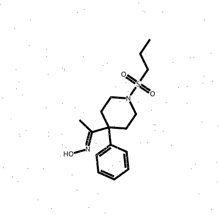 CCCS(=O)(=O)N1CCC(C(C)=NO)(c2ccccc2)CC1